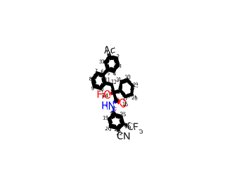 CC(=O)c1cccc(-c2ccccc2CC(O)(C(=O)Nc2ccc(C#N)c(C(F)(F)F)c2)C2CCCCC2)c1